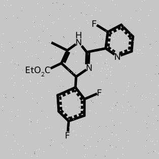 CCOC(=O)C1=C(C)NC(c2ncccc2F)=NC1c1ccc(F)cc1F